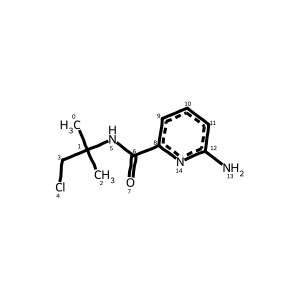 CC(C)(CCl)NC(=O)c1cccc(N)n1